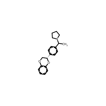 CC(c1ccc([C@H]2COc3ccccc3O2)cc1)N1CCCC1